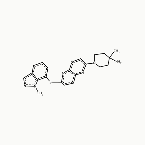 Cn1ncc2cccc(Sc3ccc4nc(N5CCC(C)(N)CC5)cnc4n3)c21